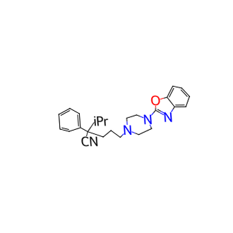 CC(C)C(C#N)(CCCN1CCN(c2nc3ccccc3o2)CC1)c1ccccc1